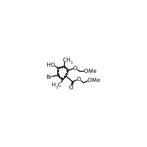 COCOC(=O)c1c(C)c(Br)c(O)c(C)c1OCOC